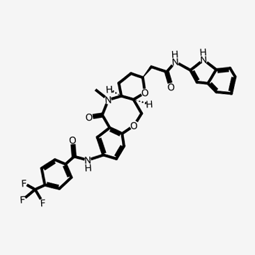 CN1C(=O)c2cc(NC(=O)c3ccc(C(F)(F)F)cc3)ccc2OC[C@@H]2O[C@H](CC(=O)Nc3cc4ccccc4[nH]3)CC[C@@H]21